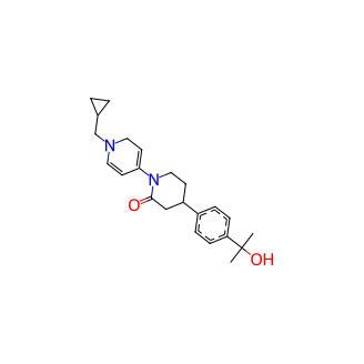 CC(C)(O)c1ccc(C2CCN(C3=CCN(CC4CC4)C=C3)C(=O)C2)cc1